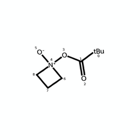 CC(C)(C)C(=O)O[N+]1([O-])CCC1